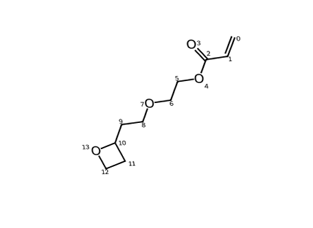 C=CC(=O)OCCOCCC1CCO1